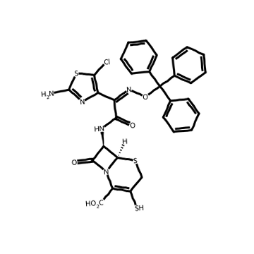 Nc1nc(/C(=N/OC(c2ccccc2)(c2ccccc2)c2ccccc2)C(=O)N[C@@H]2C(=O)N3C(C(=O)O)=C(S)CS[C@H]23)c(Cl)s1